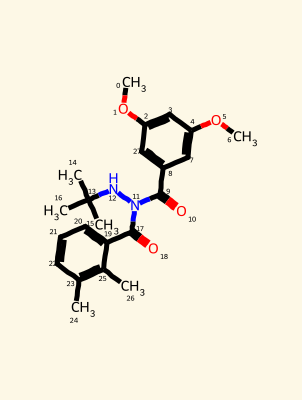 COc1cc(OC)cc(C(=O)N(NC(C)(C)C)C(=O)c2cccc(C)c2C)c1